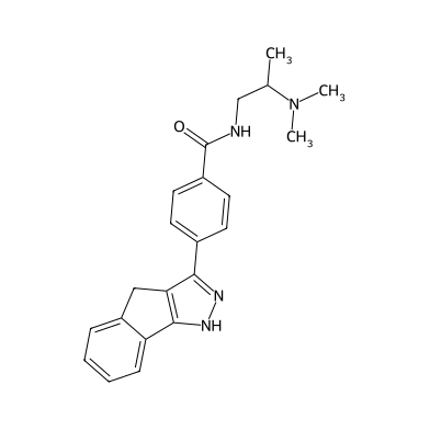 CC(CNC(=O)c1ccc(-c2n[nH]c3c2Cc2ccccc2-3)cc1)N(C)C